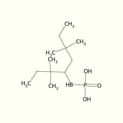 CCC(C)(C)CC(BP(=O)(O)O)C(C)(C)CC